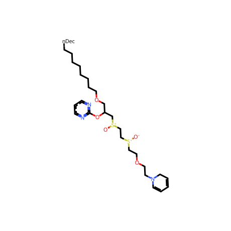 CCCCCCCCCCCCCCCCCCOCC(C[S+]([O-])CC[S+]([O-])CCOCCN1C=CC=CC1)Oc1ncccn1